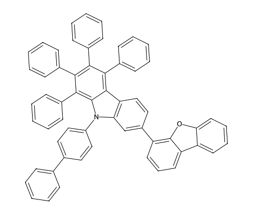 c1ccc(-c2ccc(-n3c4cc(-c5cccc6c5oc5ccccc56)ccc4c4c(-c5ccccc5)c(-c5ccccc5)c(-c5ccccc5)c(-c5ccccc5)c43)cc2)cc1